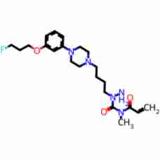 C=CC(=O)N(C)C(=O)N(N)CCCCN1CCN(c2cccc(OCCCF)c2)CC1